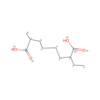 CCC(CCCCC(C)C(=O)O)C(=O)O